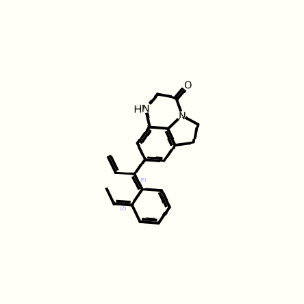 C=C/C(c1cc2c3c(c1)NCC(=O)N3CC2)=c1/cccc/c1=C/C